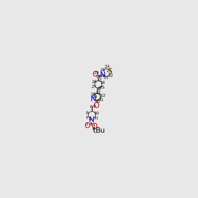 CC(C)(C)OC(=O)N1CCC(COc2ccc(C3=CCC(C(=O)N4CCSCC4)CC3)cn2)CC1